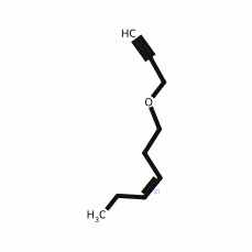 C#CCOCC/C=C\CC